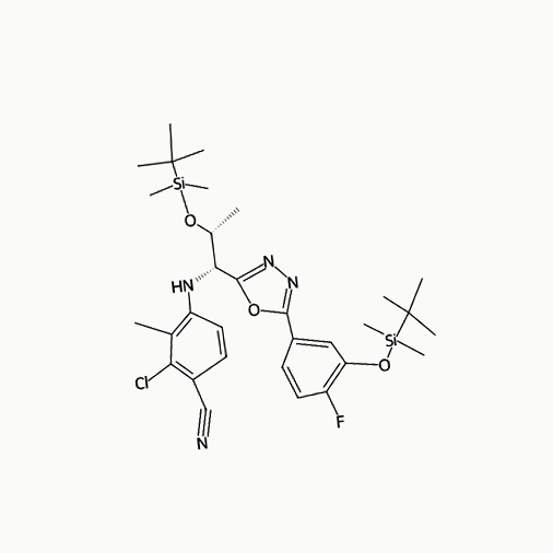 Cc1c(N[C@@H](c2nnc(-c3ccc(F)c(O[Si](C)(C)C(C)(C)C)c3)o2)[C@@H](C)O[Si](C)(C)C(C)(C)C)ccc(C#N)c1Cl